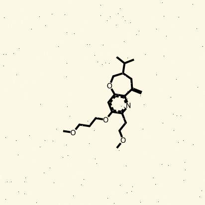 C=C1CC(C(C)C)COc2cc(OCCCOC)c(CCOC)nc21